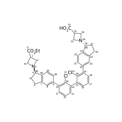 CCOC(=O)C1CN([C@@H]2CCc3cc(-c4cccc(-c5cccc(-c6ccc7c(c6)CC[C@H]7N6CC(C(=O)O)C6)c5Cl)c4Cl)ccc32)C1